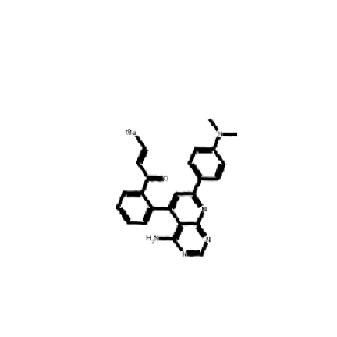 CN(C)c1ccc(-c2cc(-c3ccccc3C(=O)C=CC(C)(C)C)c3c(N)ncnc3n2)cc1